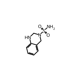 NS(=O)(=O)N1CNc2ccccc2C1